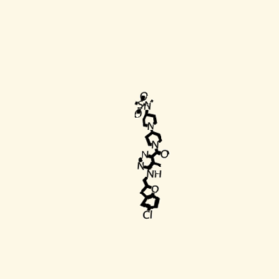 Cc1c(NCC2Cc3cc(Cl)ccc3O2)ncnc1C(=O)N1CCC(N2CCC(N(C)S(C)(=O)=O)CC2)CC1